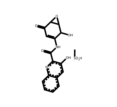 CS(=O)(=O)O.O=C(NC1=CC(=O)C2OC2C1O)c1nc2ccccc2cc1O